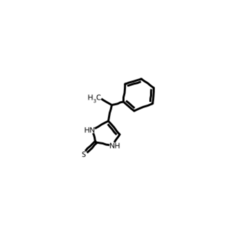 CC(c1ccccc1)c1c[nH]c(=S)[nH]1